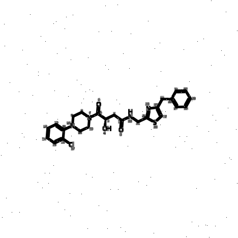 O=C(C[C@@H](O)C(=O)N1CCN(c2ccccc2Cl)CC1)NCc1nc(Cc2ccccc2)cs1